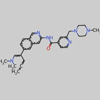 C=C=C/C(=C\N(C)C)c1ccc2cnc(NC(=O)c3ccnc(CN4CCN(C)CC4)c3)cc2c1